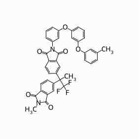 Cc1cccc(Oc2cccc(Oc3cccc(N4C(=O)c5ccc(C(C)(c6ccc7c(c6)C(=O)N(C)C7=O)C(F)(F)F)cc5C4=O)c3)c2)c1